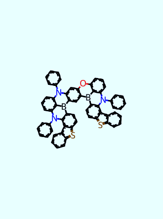 c1ccc(N2c3cc4c(cc3B3c5ccc6sc7ccccc7c6c5N(c5ccccc5)c5cccc2c53)B2c3ccc5sc6ccccc6c5c3N(c3ccccc3)c3cccc(c32)O4)cc1